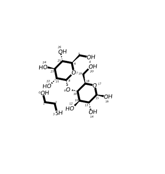 OCCS.OC[C@H]1O[C@H](O[C@H]2[C@H](O)[C@@H](O)[C@H](O)O[C@@H]2CO)[C@H](O)[C@@H](O)[C@@H]1O